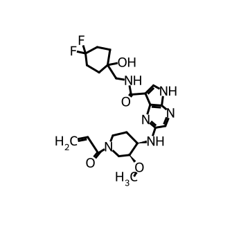 C=CC(=O)N1CC[C@@H](Nc2cnc3[nH]cc(C(=O)NCC4(O)CCC(F)(F)CC4)c3n2)[C@@H](OC)C1